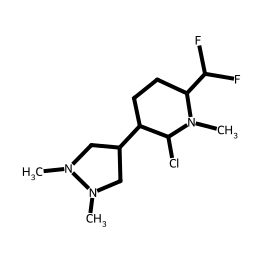 CN1C(Cl)C(C2CN(C)N(C)C2)CCC1C(F)F